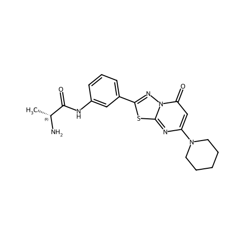 C[C@@H](N)C(=O)Nc1cccc(-c2nn3c(=O)cc(N4CCCCC4)nc3s2)c1